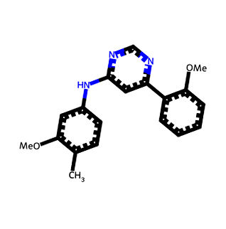 COc1cc(Nc2cc(-c3ccccc3OC)ncn2)ccc1C